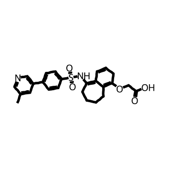 Cc1cncc(-c2ccc(S(=O)(=O)NC3=C4C=CCC(OCC(=O)O)=C4CCCC3)cc2)c1